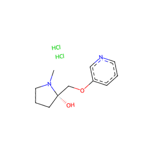 CN1CCC[C@]1(O)COc1cccnc1.Cl.Cl